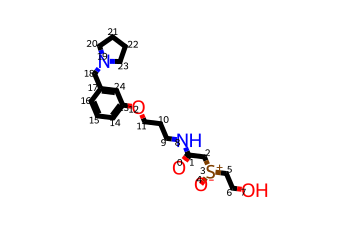 O=C(C[S+]([O-])CCO)NCCCOc1cccc(CN2CCCC2)c1